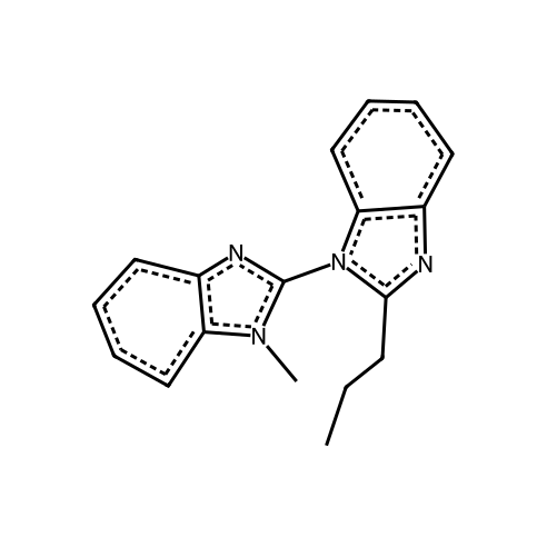 CCCc1nc2ccccc2n1-c1nc2ccccc2n1C